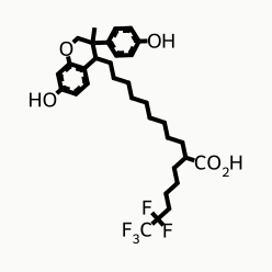 CC1(c2ccc(O)cc2)COc2cc(O)ccc2C1CCCCCCCCCC(CCCCC(F)(F)C(F)(F)F)C(=O)O